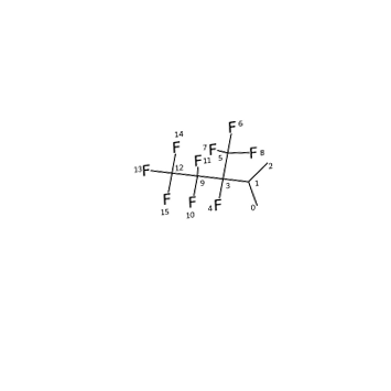 CC(C)C(F)(C(F)(F)F)C(F)(F)C(F)(F)F